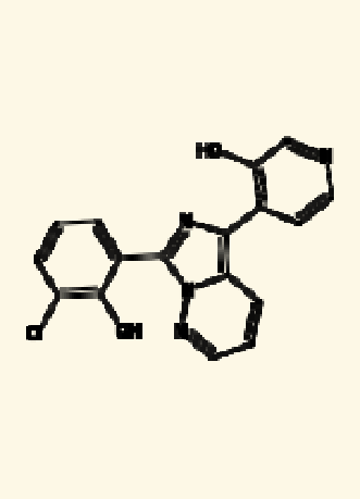 Oc1cnccc1-c1nc(-c2cccc(Cl)c2O)n2ncccc12